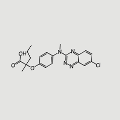 CCCC(C)(Oc1ccc(N(C)c2nnc3cc(Cl)ccc3n2)cc1)C(=O)O